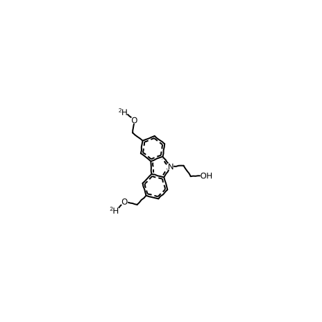 [2H]OCc1ccc2c(c1)c1cc(CO[2H])ccc1n2CCO